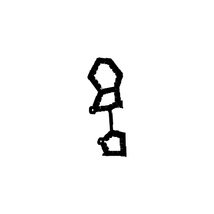 [c]1ccc(-c2nc3ccccc3o2)o1